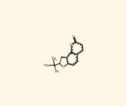 CC(C)(O)C1Cc2c(ccc3ccc(=O)oc23)O1